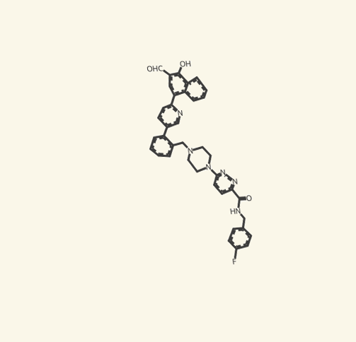 O=Cc1cc(-c2ccc(-c3ccccc3CN3CCN(c4ccc(C(=O)NCc5ccc(F)cc5)nn4)CC3)cn2)c2ccccc2c1O